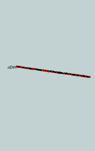 CC=CC=CC=CC=CC=CC=CC=CC=CC=CC=CCCCCCCCCCCCCCCCCCCCCCCCCCCCCCCCCCCCCCCCCCCCCCCCCCCCCCCCCCCCCCCCCCCCCCCCCCCCCCCC